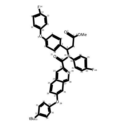 COC(=O)CC(c1ccc(Oc2ccc(F)cc2)cc1)N(C(=O)c1cc2ccc(Oc3ccc(C(C)(C)C)cc3)cc2cn1)c1ccc(F)cc1